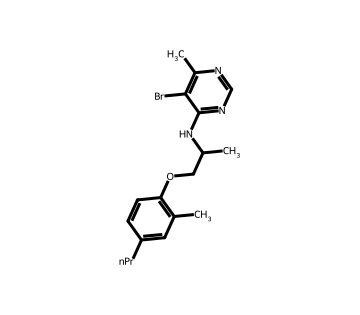 CCCc1ccc(OCC(C)Nc2ncnc(C)c2Br)c(C)c1